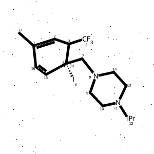 CC1=CC(C(F)(F)F)[C@@](I)(CN2CCN(C(C)C)CC2)C=C1